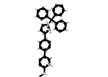 COc1ccc(-c2ccc(-c3ccn(C(c4ccccc4)(c4ccccc4)c4ccccc4)n3)cc2)cn1